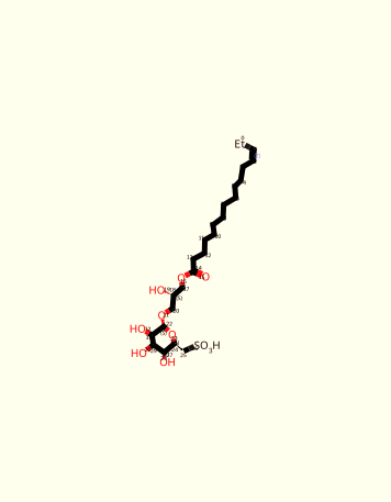 CC/C=C\CCCCCCCCCCCC(=O)OC[C@@H](O)CO[C@H]1O[C@H](CS(=O)(=O)O)[C@@H](O)C(O)C1O